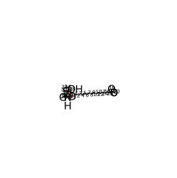 CCCCC=CC=CC=CCCCCCCCC(=O)OC.O=C1C=CC(=O)N1.Oc1ccccc1